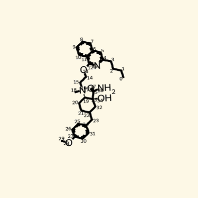 CCCCc1cc2ccccc2c(OCC[N+](C)(C)[C@H]2CCC(Cc3ccc(OC)cc3)C[C@@]2(O)C(N)=O)n1